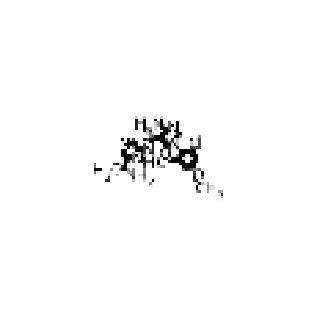 CCOc1cc(Cl)c(-n2cnc(N)c(C(=O)Nc3cncc([C@@H](C)N)n3)c2=O)c(Cl)c1